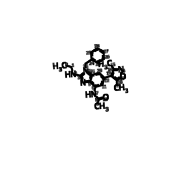 CCNc1nc2c(NC(C)=O)cc(-c3c(C)noc3C)cc2n1Cc1ccccc1